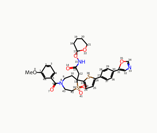 COc1cccc(C(=O)N2CCC(CC(=O)NOC3CCCCO3)(c3ccc(-c4ccc(-c5cnco5)cc4)s3)S(=O)(=O)CC2)c1